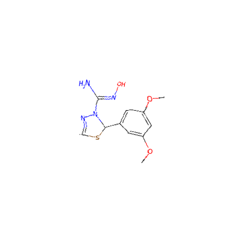 COc1cc(OC)cc(C2S[C]=NN2C(N)=NO)c1